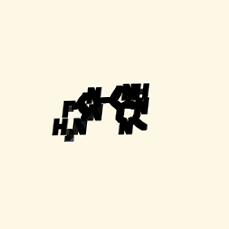 Cc1ncc2c(-c3ncc(F)c(N)n3)c[nH]c2n1